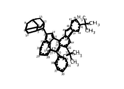 CC1C=C(C2C3CC4CC(C3)CC2C4)C=C1c1c2c(cc(C(C)(C)C)c1=C(c1ccccc1)c1ccccc1)=c1cc(C(C)(C)C)ccc1=[C]2